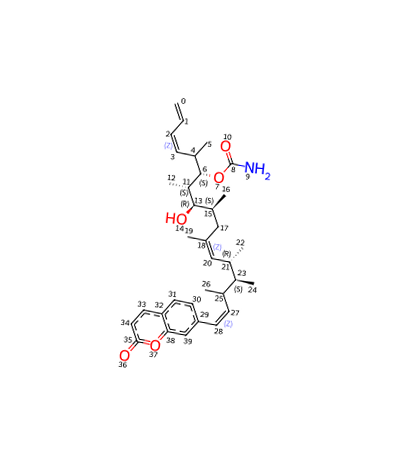 C=C/C=C\C(C)[C@H](OC(N)=O)[C@@H](C)[C@H](O)[C@@H](C)C/C(C)=C\[C@H](C)[C@@H](C)C(C)/C=C\c1ccc2ccc(=O)oc2c1